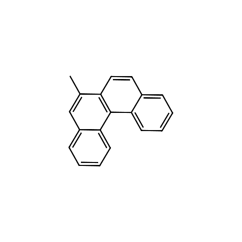 Cc1cc2ccccc2c2c1ccc1ccccc12